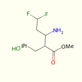 COC(=O)C(CC(C)C)C(N)CC(F)F.Cl